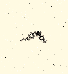 CCCCOc1ccc(Cn2cnc(-c3ccc(Br)cc3)c2)cc1